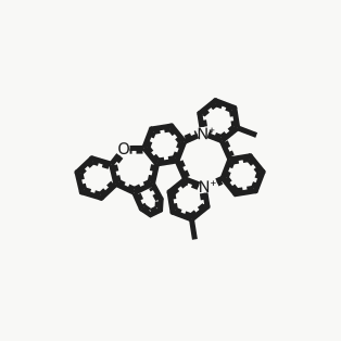 Cc1ccc2c3c4c(ccc3[n+]3cccc(C)c3c3ccccc3[n+]2c1)oc1ccccc1c1ccccc14